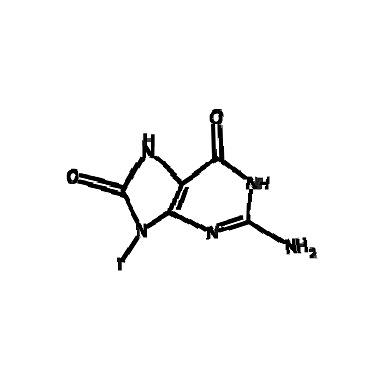 Nc1nc2c([nH]c(=O)n2I)c(=O)[nH]1